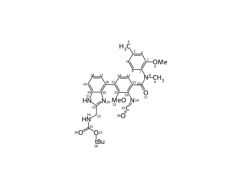 COc1cc(C)ccc1N(C)C(=O)c1ccc(-c2cccc3[nH]c(CNC(=O)OC(C)(C)C)nc23)c(OC)c1N=C=O